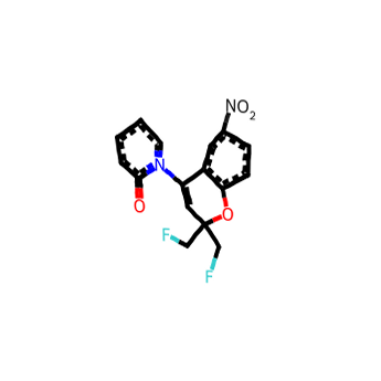 O=c1ccccn1C1=CC(CF)(CF)Oc2ccc([N+](=O)[O-])cc21